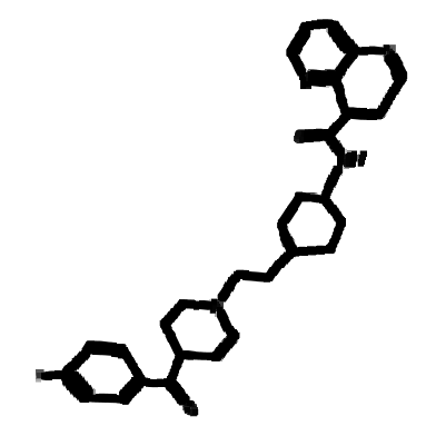 O=C(NC1CCC(CCN2CCC(C(=O)c3ccc(F)cc3)CC2)CC1)c1ccnc2cccnc12